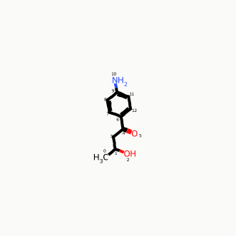 CC(O)CC(=O)c1ccc(N)cc1